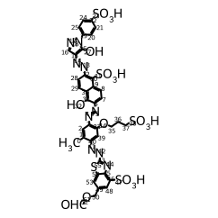 Cc1cc(N=Nc2ccc3c(S(=O)(=O)O)c(N=Nc4cnn(-c5ccc(S(=O)(=O)O)cc5)c4O)ccc3c2O)c(OCCCS(=O)(=O)O)cc1N=Nc1nc2c(S(=O)(=O)O)cc(COC=O)cc2s1